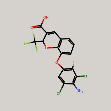 Nc1c(Cl)cc(Oc2cccc3c2OC(C(F)(F)F)C(C(=O)O)=C3)c(F)c1Cl